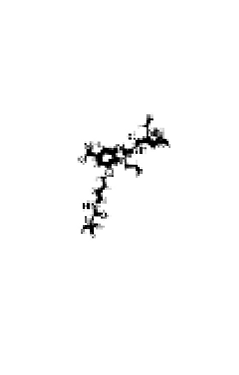 CCCn1c(NC(=O)c2cc(C)nn2CC)nc2cc(C(N)=O)cc(OCCCCNC(=O)OC(C)(C)C)c21